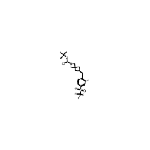 CC(C)(C)OC(=O)N1CC2(CC(Cc3ccc(S(=N)(=O)C(F)(F)F)cc3F)C2)C1